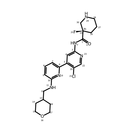 O=C(Nc1cc(-c2cccc(NCC3CCOCC3)n2)c(Cl)cn1)[C@@]1(F)CCCNC1